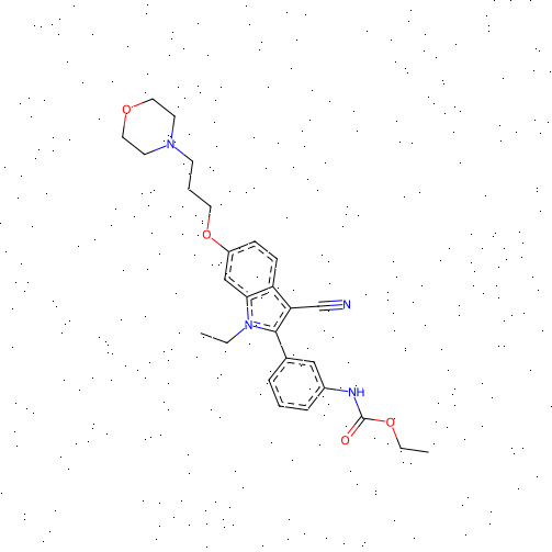 CCOC(=O)Nc1cccc(-c2c(C#N)c3ccc(OCCCN4CCOCC4)cc3n2CC)c1